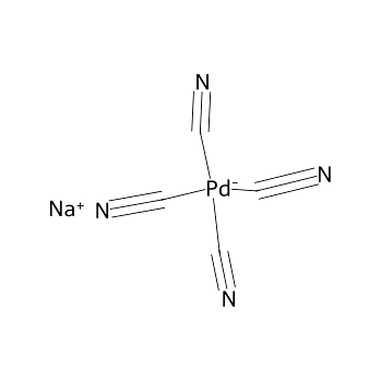 N#[C][Pd-]([C]#N)([C]#N)[C]#N.[Na+]